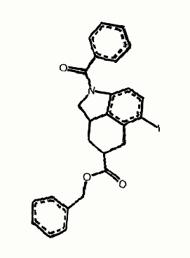 O=C(OCc1ccccc1)C1Cc2c(I)ccc3c2C(C1)CN3C(=O)c1ccccc1